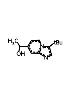 CC(O)c1ccn2c(C(C)(C)C)cnc2c1